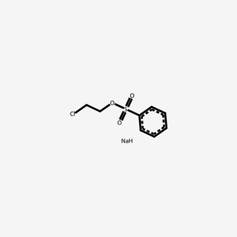 O=S(=O)(OCCCl)c1ccccc1.[NaH]